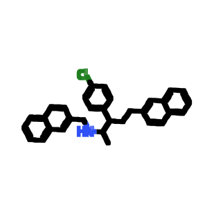 CC(NCc1ccc2ccccc2c1)C(CCc1ccc2ccccc2c1)c1ccc(Cl)cc1